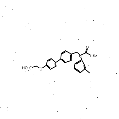 CCCCC(=O)N(Cc1ccc(-c2ccc(OCC(=O)O)cc2)cc1)c1cccc(C)c1